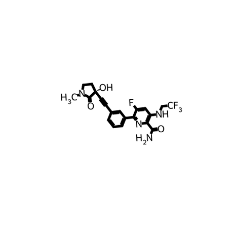 CN1CC[C@@](O)(C#Cc2cccc(-c3nc(C(N)=O)c(NCC(F)(F)F)cc3F)c2)C1=O